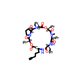 C#CCCCC1CC(=O)O[C@@H](C(C)C)C(=O)N2CCC[C@H]2C(=O)N(C)[C@@H](C(C)C)C(=O)O[C@@H](C(C)C)C(=O)N(C)[C@@H](C(C)C)C(=O)N[C@@H](CC(C)C)C(=O)N1